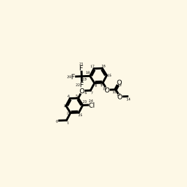 CCc1ccc(OCc2c(OC(=O)OC)cccc2C(F)(F)F)c(Cl)c1